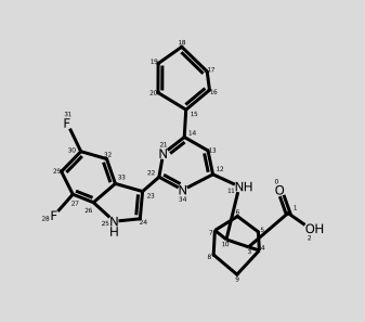 O=C(O)C1C2CCC(CC2)C1Nc1cc(-c2ccccc2)nc(-c2c[nH]c3c(F)cc(F)cc23)n1